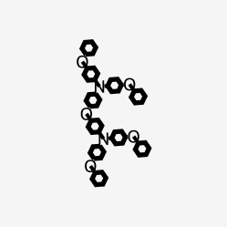 c1ccc(Oc2ccc(N(c3ccc(Oc4ccccc4)cc3)c3ccc(Oc4ccc(N(c5ccc(Oc6ccccc6)cc5)c5ccc(Oc6ccccc6)cc5)cc4)cc3)cc2)cc1